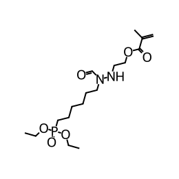 C=C(C)C(=O)OCCNN(C=O)CCCCCCP(=O)(OCC)OCC